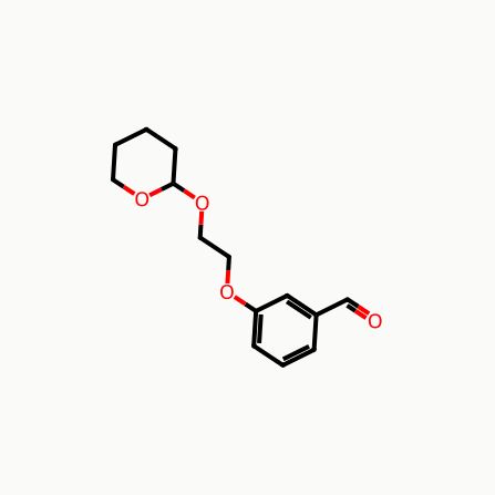 O=Cc1cccc(OCCOC2CCCCO2)c1